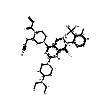 C=CC(=O)N1CCN(c2nc(N3CCC(N(CC)CC)CC3)nc3c(=O)n(-c4cccc(C)c4C(F)(F)F)ncc23)CC1CC#N